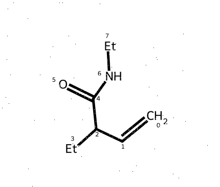 C=CC(CC)C(=O)NCC